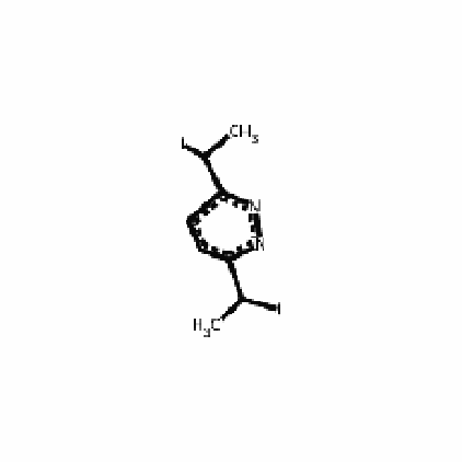 CC(I)c1ccc(C(C)I)nn1